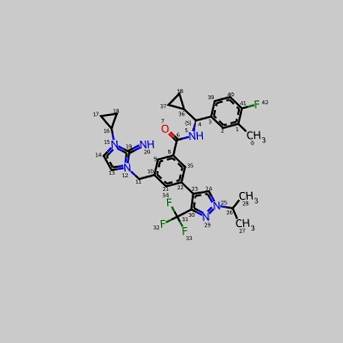 Cc1cc([C@@H](NC(=O)c2cc(Cn3ccn(C4CC4)c3=N)cc(-c3cn(C(C)C)nc3C(F)(F)F)c2)C2CC2)ccc1F